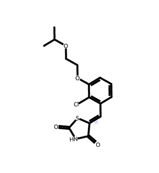 CC(C)OCCOc1cccc(/C=C2\SC(=O)NC2=O)c1Cl